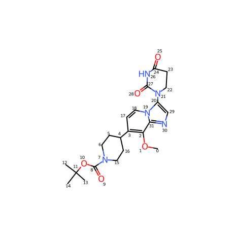 COc1c(C2CCN(C(=O)OC(C)(C)C)CC2)ccn2c(N3CCC(=O)NC3=O)cnc12